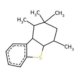 CC1CC(C)(C)C(C)C2c3ccccc3SC12